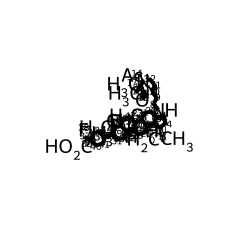 C=C(C)[C@@H]1CC[C@]2(NCCN3CCN(C(C)=O)C(C)(C)C3=O)CC[C@]3(C)[C@H](CC[C@@H]4[C@@]5(C)CC=C(C6=CC[C@](CF)(C(=O)O)CC6)C(C)(C)[C@@H]5CC[C@]43C)[C@@H]12